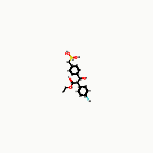 CCOC(=O)C(C(=O)c1ccc(CS(=O)O)cc1)c1ccc(F)cc1